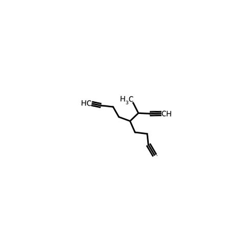 [C]#CCCC(CCC#C)C(C)C#C